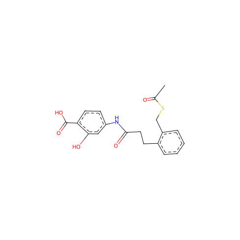 CC(=O)SCc1ccccc1CCC(=O)Nc1ccc(C(=O)O)c(O)c1